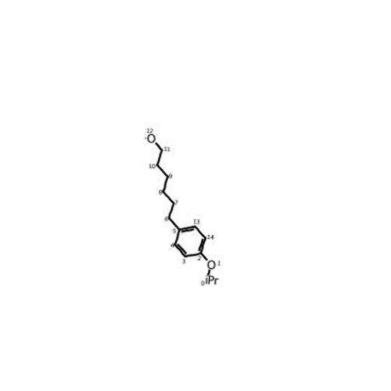 CC(C)Oc1ccc(CCCCCC[O])cc1